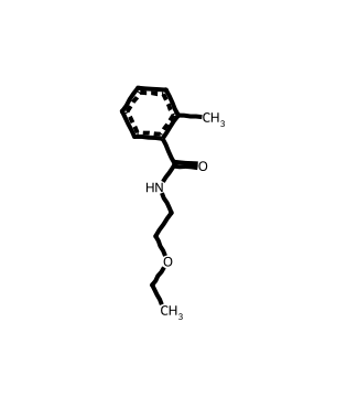 CCOCCNC(=O)c1ccccc1C